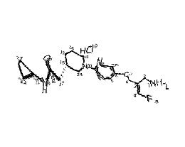 Cl.NC/C(=C\F)COc1cnc(N2CCC[C@@H](CC(=O)NC3CC3)C2)nc1